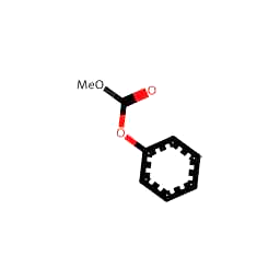 COC(=O)Oc1c[c]ccc1